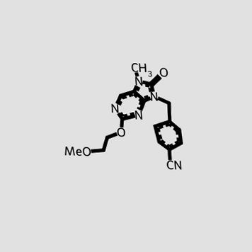 COCCOc1ncc2c(n1)n(Cc1ccc(C#N)cc1)c(=O)n2C